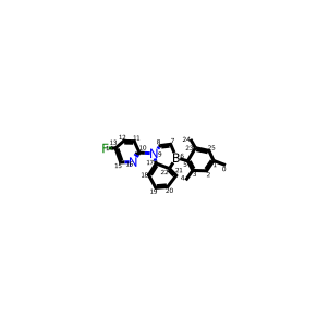 Cc1cc(C)c(B2C=CN(c3ccc(F)cn3)c3ccccc32)c(C)c1